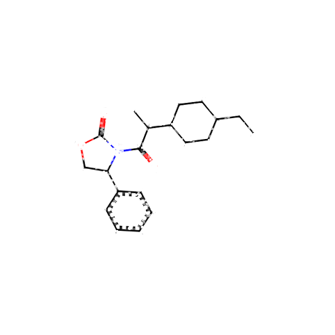 CCC1CCC(C(C)C(=O)N2C(=O)OCC2c2ccccc2)CC1